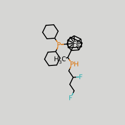 CC(PCC(F)CCF)[C]12[CH]3[CH]4[CH]5[C]1(P(C1CCCCC1)C1CCCCC1)[Fe]43521678[CH]2[CH]1[CH]6[CH]7[CH]28